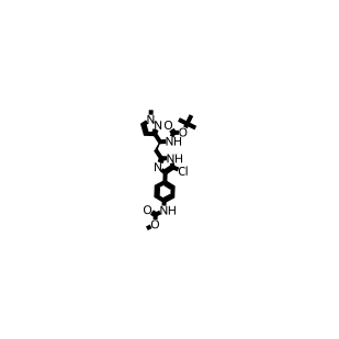 COC(=O)Nc1ccc(-c2nc(C[C@H](NC(=O)OC(C)(C)C)c3ccn(C)n3)[nH]c2Cl)cc1